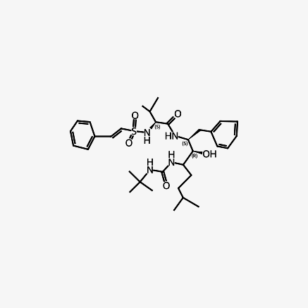 CC(C)CCC(NC(=O)NC(C)(C)C)[C@H](O)[C@H](Cc1ccccc1)NC(=O)[C@@H](NS(=O)(=O)C=Cc1ccccc1)C(C)C